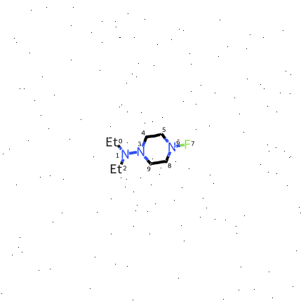 CCN(CC)N1CCN(F)CC1